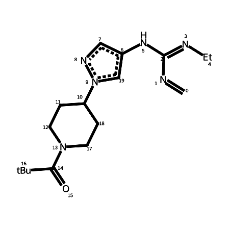 C=N/C(=N\CC)Nc1cnn(C2CCN(C(=O)C(C)(C)C)CC2)c1